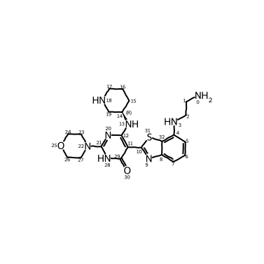 NCCNc1cccc2nc(-c3c(N[C@@H]4CCCNC4)nc(N4CCOCC4)[nH]c3=O)sc12